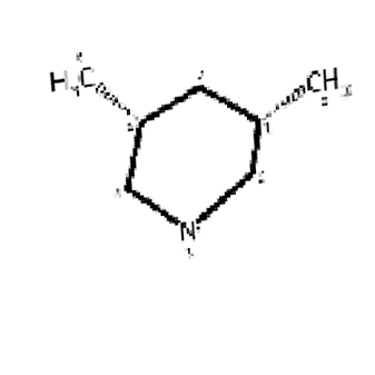 C[C@@H]1C[N]C[C@H](C)C1